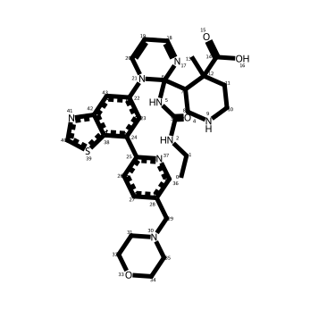 CCNC(=O)NC1(C2CNCCC2(C)C(=O)O)N=CC=CN1c1cc(-c2ccc(CN3CCOCC3)cn2)c2scnc2c1